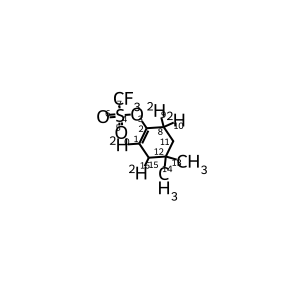 [2H]C1=C(OS(=O)(=O)C(F)(F)F)C([2H])([2H])CC(C)(C)C1[2H]